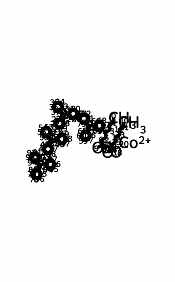 CCCCCCCC(=O)[O-].CCCCCCCC(=O)[O-].[Co+2].c1ccc(P(c2ccccc2)c2ccccc2)cc1.c1ccc(P(c2ccccc2)c2ccccc2)cc1.c1ccc(P(c2ccccc2)c2ccccc2)cc1.c1ccc(P(c2ccccc2)c2ccccc2)cc1